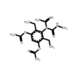 CCc1c(OC(C)=O)cc(OC(C)=O)c(CC)c1N(C(=N)N)C(=O)NC